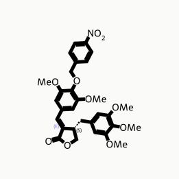 COc1cc(C[C@@H]2COC(=O)/C2=C/c2cc(OC)c(OCc3ccc([N+](=O)[O-])cc3)c(OC)c2)cc(OC)c1OC